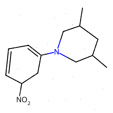 CC1CC(C)CN(C2=CC=CC([N+](=O)[O-])C2)C1